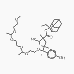 CCC1(OC(=O)C(C)(CC(C)(C)[C@](C)(OCCOC(C)OCCOC(C)OCCOC)c2ccc(O)cc2)C(C)S)C2CC3CC(C2)CC1C3